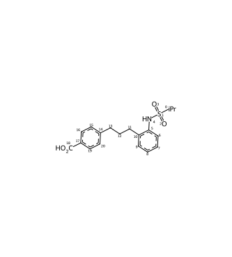 CC(C)S(=O)(=O)Nc1ccccc1CCCc1ccc(C(=O)O)cc1